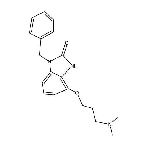 CN(C)CCCOc1cccc2c1[nH]c(=O)n2Cc1ccccc1